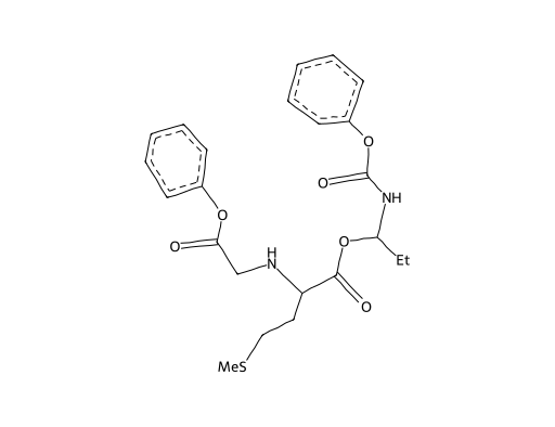 CCC(NC(=O)Oc1ccccc1)OC(=O)C(CCSC)NCC(=O)Oc1ccccc1